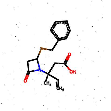 C=CC(C)(CC(=O)O)N1C(=O)CC1SCc1ccccc1